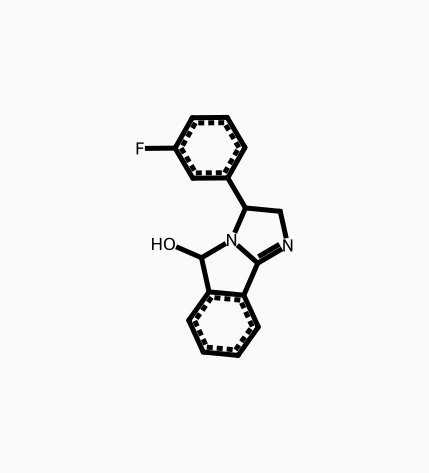 OC1c2ccccc2C2=NCC(c3cccc(F)c3)N21